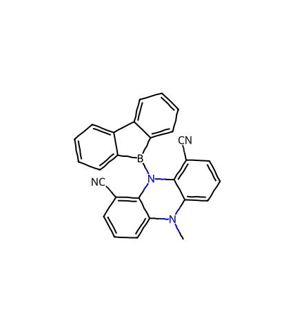 CN1c2cccc(C#N)c2N(B2c3ccccc3-c3ccccc32)c2c(C#N)cccc21